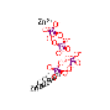 O=P([O-])([O-])[O-].O=P([O-])([O-])[O-].O=P([O-])([O-])[O-].O=P([O-])([O-])[O-].[Co+2].[Co+2].[Co+2].[Zn+2].[Zn+2].[Zn+2]